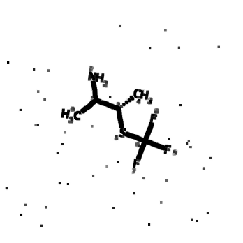 CC(N)[C@H](C)SC(F)(F)F